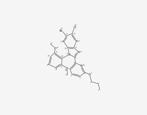 CCCOc1cccc(-c2nc3nc(Cl)c(Br)nc3n2-c2c(OC)cccc2OC)n1